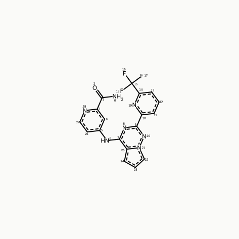 NC(=O)c1cc(Nc2nc(-c3cccc(C(F)(F)F)n3)nn3cccc23)ccn1